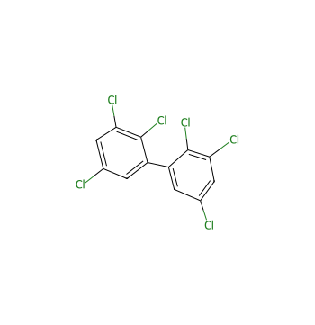 Clc1cc(Cl)c(Cl)c(-c2cc(Cl)cc(Cl)c2Cl)c1